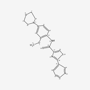 COc1cc(N2CCOCC2)ccc1NC(=O)c1csc(-c2cccnc2)n1